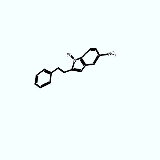 CCn1c(CCc2ccccc2)cc2cc([N+](=O)[O-])ccc21